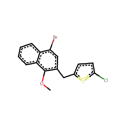 COc1c(Cc2ccc(Cl)s2)cc(Br)c2ccccc12